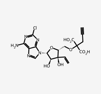 C#CCC(OC[C@H]1O[C@@H](n2cnc3c(N)nc(Cl)nc32)[C@H](O)[C@@]1(O)C=C)(C(=O)O)C(=O)O